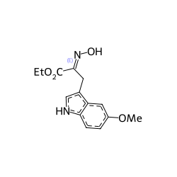 CCOC(=O)/C(Cc1c[nH]c2ccc(OC)cc12)=N/O